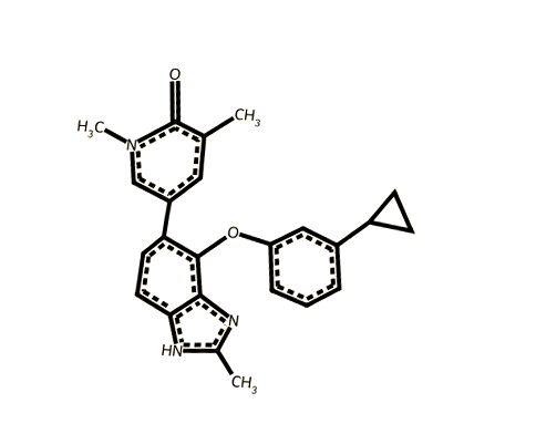 Cc1nc2c(Oc3cccc(C4CC4)c3)c(-c3cc(C)c(=O)n(C)c3)ccc2[nH]1